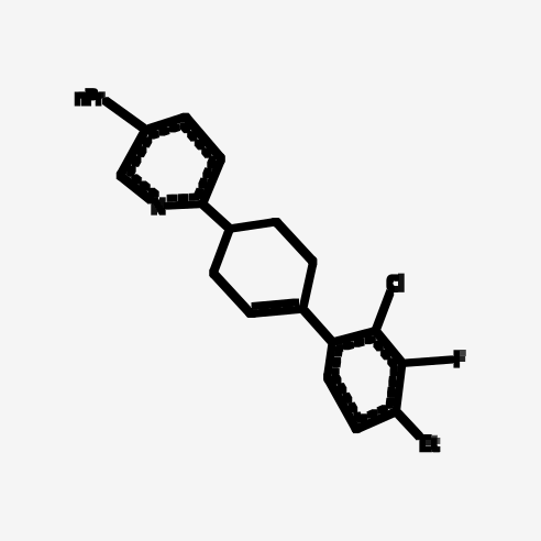 CCCc1ccc(C2CC=C(c3ccc(CC)c(F)c3Cl)CC2)nc1